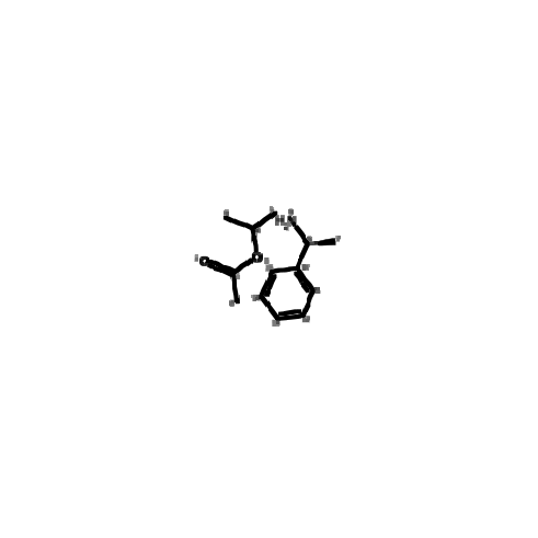 CC(=O)OC(C)C.C[C@H](N)c1ccccc1